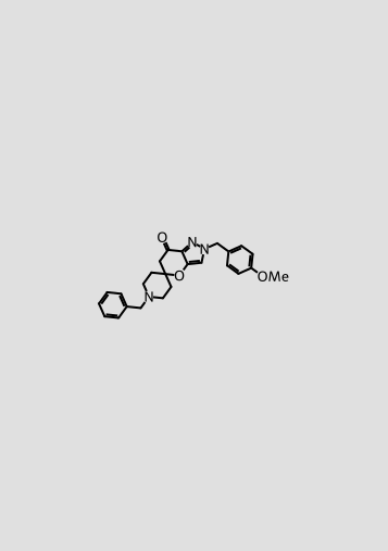 COc1ccc(Cn2cc3c(n2)C(=O)CC2(CCN(Cc4ccccc4)CC2)O3)cc1